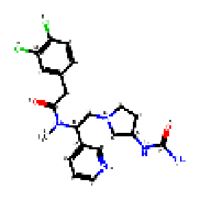 CN(C(=O)Cc1ccc(Cl)c(Cl)c1)C(CN1CCC(NC(N)=O)C1)c1cccnc1